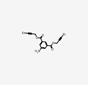 CCC#CCOC(=O)c1cc(N)cc(C(=O)OCC#CCC)c1